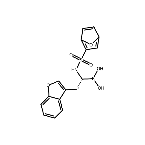 O=S(=O)(N[C@@H](Cc1coc2ccccc12)B(O)O)c1cc2ccc1o2